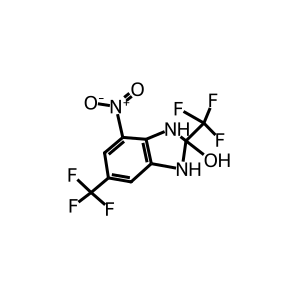 O=[N+]([O-])c1cc(C(F)(F)F)cc2c1NC(O)(C(F)(F)F)N2